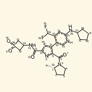 C[C@H]1CCCN1C(=O)c1nc(C(=O)NC2CS(=O)(=O)C2)sc1-c1cnc(NC2CCCC2)cc1C(F)F